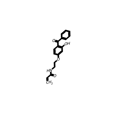 C=CC(=O)NCCOc1ccc(C(=O)c2ccccc2)c(O)c1